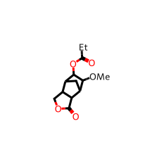 CCC(=O)OC1C2CC(C1OC)C1C(=O)OCC21